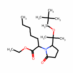 CCCCCC(C(=O)OCC)N1C(=O)CCC1C(C)(C)O[SiH2]C(C)(C)C